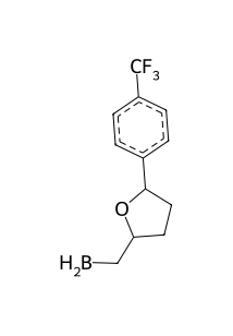 BCC1CCC(c2ccc(C(F)(F)F)cc2)O1